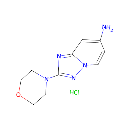 Cl.Nc1ccn2nc(N3CCOCC3)nc2c1